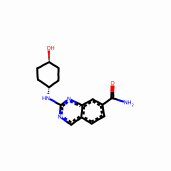 NC(=O)c1ccc2cnc(N[C@H]3CC[C@H](O)CC3)nc2c1